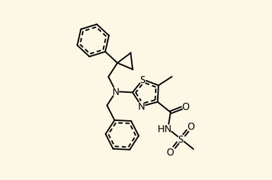 Cc1sc(N(Cc2ccccc2)CC2(c3ccccc3)CC2)nc1C(=O)NS(C)(=O)=O